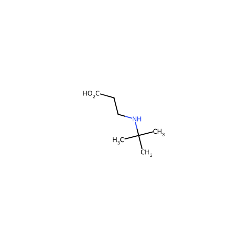 CC(C)(C)NCCC(=O)O